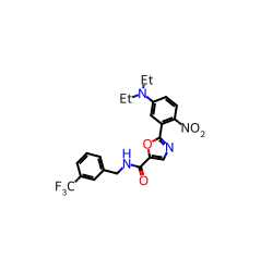 CCN(CC)c1ccc([N+](=O)[O-])c(-c2ncc(C(=O)NCc3cccc(C(F)(F)F)c3)o2)c1